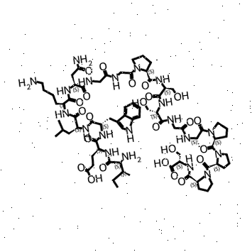 CC[C@H](C)[C@H](N)C(=O)N[C@@H](CCC(=O)O)C(=O)N[C@@H](Cc1c[nH]c2ccccc12)C(=O)N[C@@H](CC(C)C)C(=O)N[C@@H](CCCCN)C(=O)N[C@@H](CC(N)=O)C(=O)NCC(=O)NCC(=O)N1CCC[C@H]1C(=O)N[C@@H](CO)C(=O)N[C@@H](CO)C(=O)NCC(=O)N[C@@H](C)C(=O)N1CCC[C@H]1C(=O)N1CCC[C@H]1C(=O)N1CCC[C@H]1C(=O)N[C@@H](CO)C(=O)O